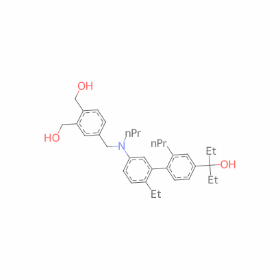 CCCc1cc(C(O)(CC)CC)ccc1-c1cc(N(CCC)Cc2ccc(CO)c(CO)c2)ccc1CC